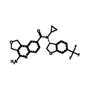 Nc1nc2ccc(C(=O)N(C3CC3)[C@H]3COc4cc(C(F)(F)F)ccc43)cc2c2c1COC2